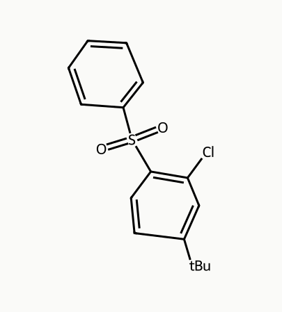 CC(C)(C)c1ccc(S(=O)(=O)c2ccccc2)c(Cl)c1